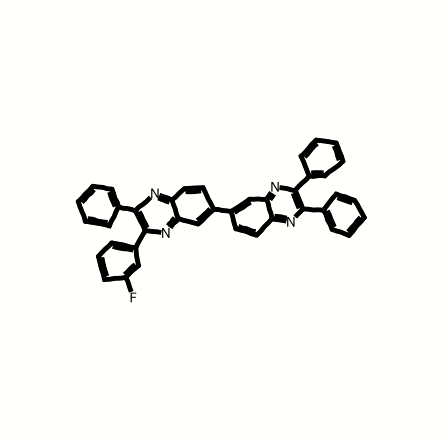 Fc1cccc(-c2nc3cc(-c4ccc5nc(-c6ccccc6)c(-c6ccccc6)nc5c4)ccc3nc2-c2ccccc2)c1